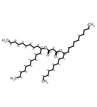 CCCCCCCCCCC(CCCCCCCCC)OC(=O)CC(=O)OC(CCCCCCCCC)CCCCCCCCCC